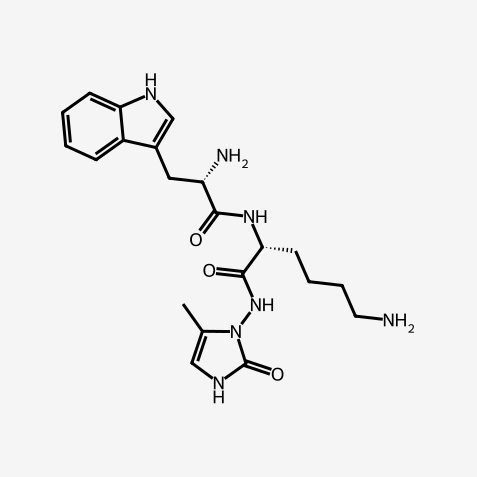 Cc1c[nH]c(=O)n1NC(=O)[C@@H](CCCCN)NC(=O)[C@@H](N)Cc1c[nH]c2ccccc12